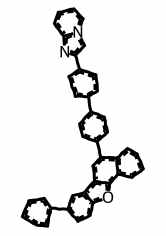 c1ccc(-c2ccc3oc4c5ccccc5c(-c5ccc(-c6ccc(-c7cn8ccccc8n7)cc6)cc5)cc4c3c2)cc1